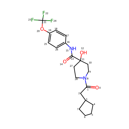 O=C(CC1CCCC1)N1CCC(O)(C(=O)Nc2ccc(OC(F)(F)F)cc2)CC1